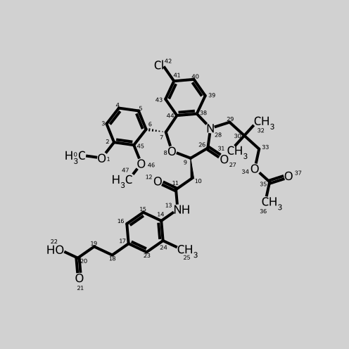 COc1cccc([C@H]2O[C@H](CC(=O)Nc3ccc(CCC(=O)O)cc3C)C(=O)N(CC(C)(C)COC(C)=O)c3ccc(Cl)cc32)c1OC